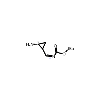 CC(C)(C)OC(=O)/N=C\C1C[C@@H]1N